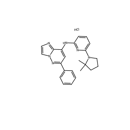 CC1(C)CCCN1c1cccc(Nc2cc(-c3ccccc3)nn3ccnc23)n1.Cl